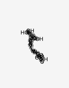 O=C1CCC(N2C(=O)c3ccc(N4CCN(CCCC5CCN(c6ccc(Oc7c(-c8ccc(B(O)O)cc8)sc8cc(O)ccc78)cc6)CC5)CC4)cc3C2=O)C(=O)N1